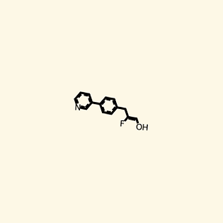 O/C=C(\F)Cc1ccc(-c2cccnc2)cc1